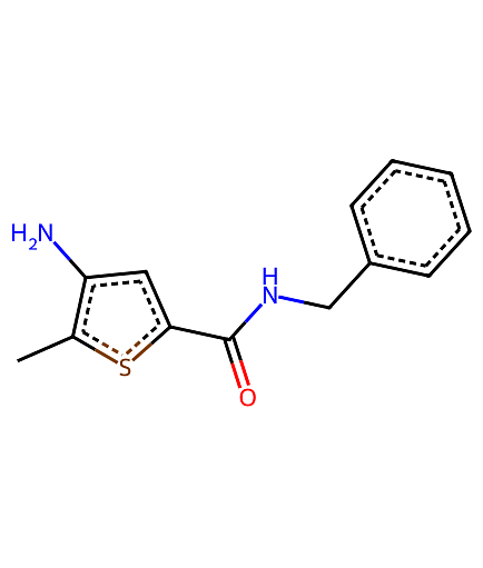 Cc1sc(C(=O)NCc2ccccc2)cc1N